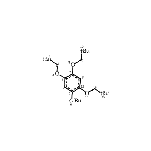 CC(C)COc1cc(OCC(C)(C)C)c(OCC(C)(C)C)cc1OCC(C)(C)C